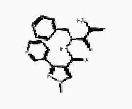 Cn1cc(C(=O)N[C@@H](Cc2ccccc2)C(=O)C(N)=O)c(-c2cccnc2)n1